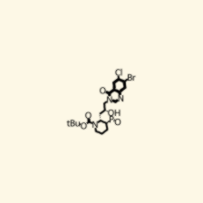 CC(C)(C)OC(=O)N1CCC[C@H](P=O)[C@H]1C[C@@H](O)Cn1cnc2cc(Br)c(Cl)cc2c1=O